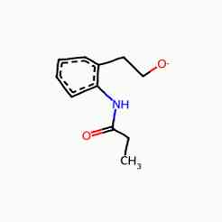 CCC(=O)Nc1ccccc1CC[O]